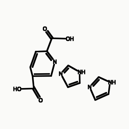 O=C(O)c1ccc(C(=O)O)nc1.c1c[nH]cn1.c1c[nH]cn1